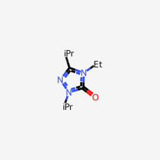 CCn1c(C(C)C)nn(C(C)C)c1=O